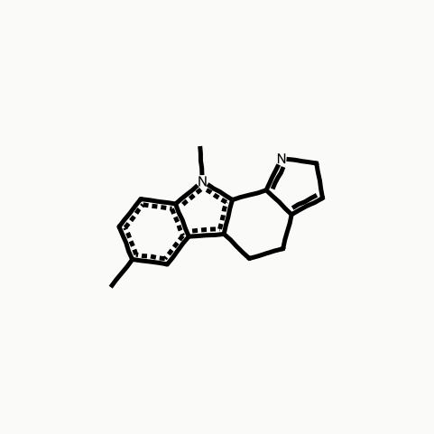 Cc1ccc2c(c1)c1c(n2C)C2=NCC=C2CC1